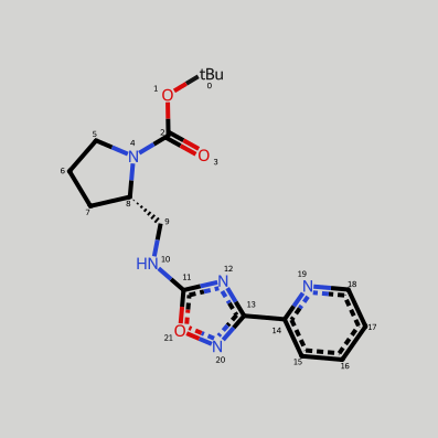 CC(C)(C)OC(=O)N1CCC[C@H]1CNc1nc(-c2ccccn2)no1